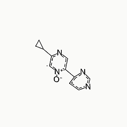 [O-][n+]1[c]c(C2CC2)ncc1-c1ccncn1